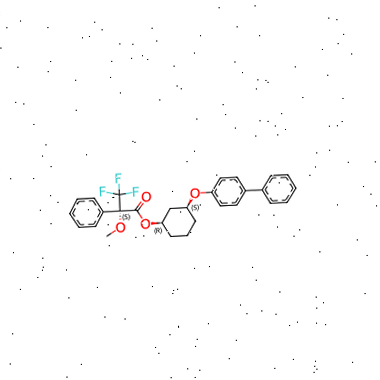 CO[C@](C(=O)O[C@@H]1CCC[C@H](Oc2ccc(-c3ccccc3)cc2)C1)(c1ccccc1)C(F)(F)F